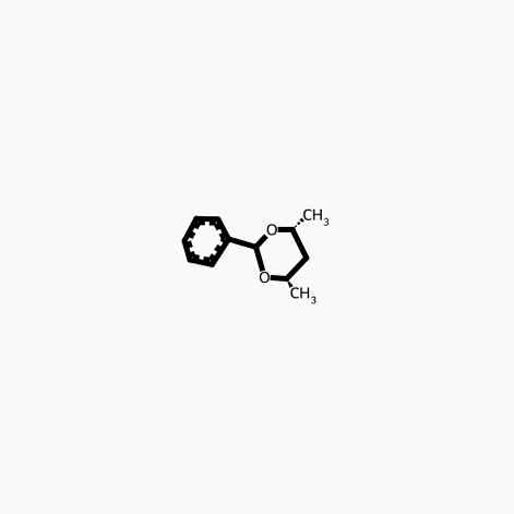 C[C@@H]1C[C@H](C)OC(c2ccccc2)O1